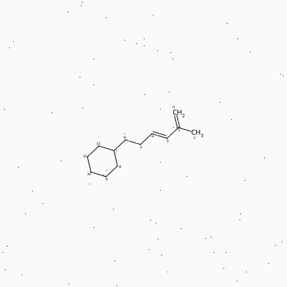 C=C(C)C=CCCC1CCCCC1